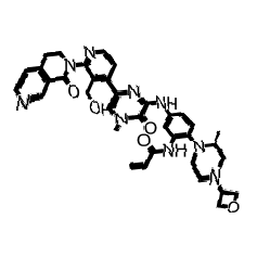 C=CC(=O)Nc1cc(Nc2nc(-c3ccnc(N4CCc5ccncc5C4=O)c3CO)cn(C)c2=O)ccc1N1CCN(C2COC2)C[C@@H]1C